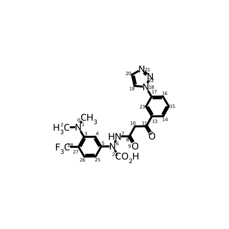 CN(C)c1cc(N(NC(=O)CC(=O)c2cccc(-n3ccnn3)c2)C(=O)O)ccc1C(F)(F)F